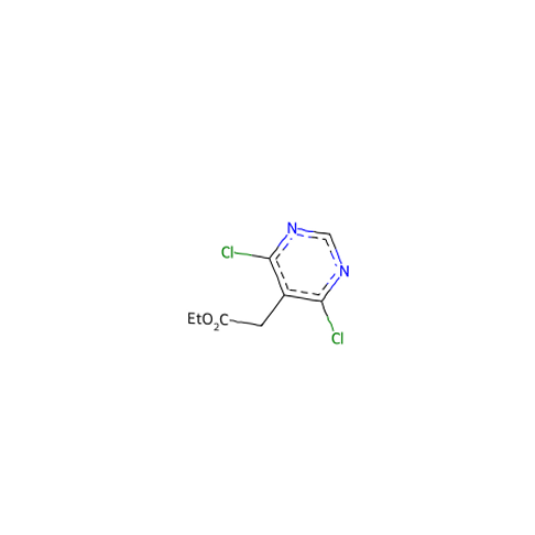 CCOC(=O)Cc1c(Cl)ncnc1Cl